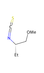 CC[C@@H](COC)N=C=S